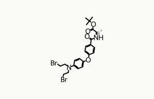 C[C@H](NC(=O)c1ccc(Oc2ccc(N(CCBr)CCBr)cc2)cc1)C(=O)OC(C)(C)C